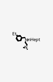 CCCCCCCN(CCN(C)C)Cc1cccc(CC)c1